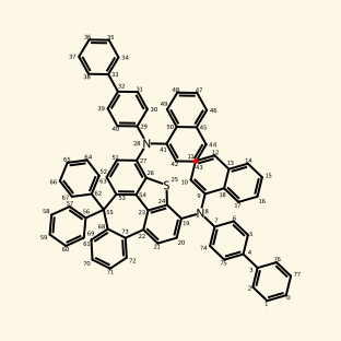 c1ccc(-c2ccc(N(c3cccc4ccccc34)c3ccc4c5c3sc3c(N(c6ccc(-c7ccccc7)cc6)c6cccc7ccccc67)ccc(c35)C(c3ccccc3)(c3ccccc3)c3ccccc3-4)cc2)cc1